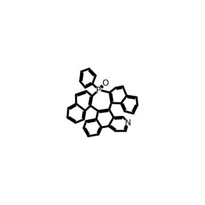 O=P1(c2ccccc2)c2ccc3ccccc3c2-c2c(c3cnccc3c3ccccc23)-c2c1ccc1ccccc21